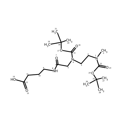 CN(CCN(CC(=O)NCCCC(=O)O)C(=O)OC(C)(C)C)C(=O)OC(C)(C)C